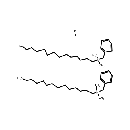 CCCCCCCCCCCCCC[N+](C)(C)Cc1ccccc1.CCCCCCCCCCCCCC[N+](C)(C)Cc1ccccc1.[Br-].[Cl-]